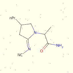 CCCC1C/C(=N\C#N)N(C(C)C(N)=O)C1